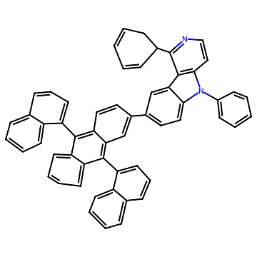 C1=CCC(c2nccc3c2c2cc(-c4ccc5c(-c6cccc7ccccc67)c6ccccc6c(-c6cccc7ccccc67)c5c4)ccc2n3-c2ccccc2)C=C1